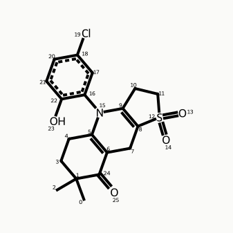 CC1(C)CCC2=C(CC3=C(CCS3(=O)=O)N2c2cc(Cl)ccc2O)C1=O